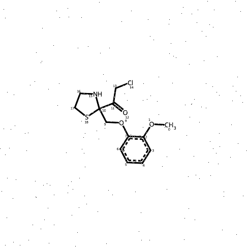 COc1ccccc1OCC1(C(=O)CCl)NCCS1